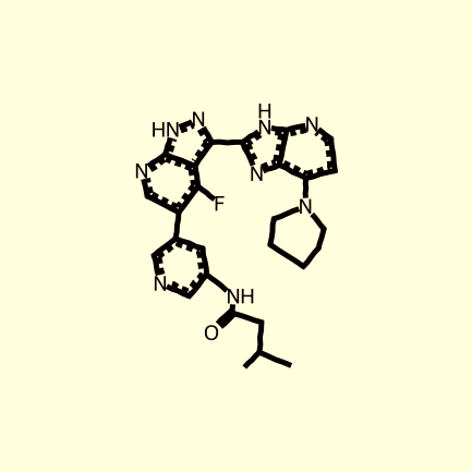 CC(C)CC(=O)Nc1cncc(-c2cnc3[nH]nc(-c4nc5c(N6CCCCC6)ccnc5[nH]4)c3c2F)c1